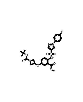 COC(=O)c1cc(OC2CN(C(=O)OC(C)(C)C)C2)ccc1NS(=O)(=O)c1cnn(-c2ccc(F)cc2)c1